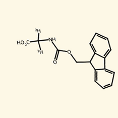 [2H]C([2H])(NC(=O)OCC1c2ccccc2-c2ccccc21)C(=O)O